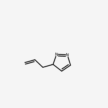 C=CC[C]1C=CN=N1